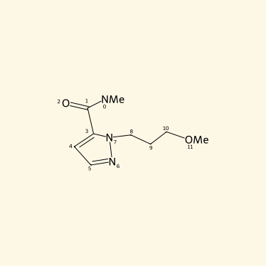 CNC(=O)c1ccnn1CCCOC